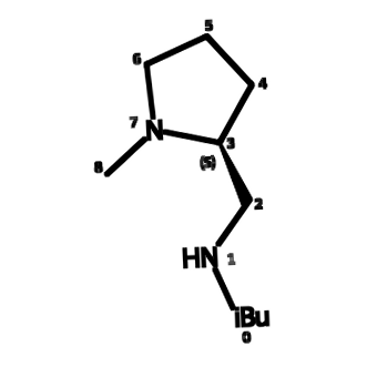 CCC(C)NC[C@@H]1CCCN1C